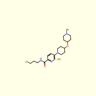 CC(C)N1CCC(OC2CCN(c3ccc(C(=O)NCCCCl)nc3)CC2)CC1.Cl